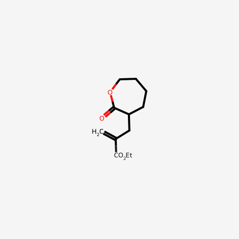 C=C(CC1CCCCOC1=O)C(=O)OCC